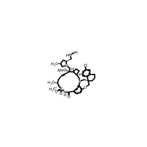 CO[C@]1(CN2C[C@@H](C)C[C@H]2CNC(C)C)/C=C/C[C@H](C)[C@@H](C)S(=O)(=O)NC(=O)c2ccc3c(c2)N(C[C@@H]2CC[C@H]21)C[C@@]1(CCCc2cc(Cl)ccc21)CO3